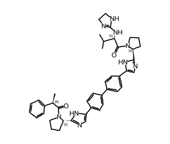 CC(C)[C@H](NC1=NCCN1)C(=O)N1CCC[C@H]1c1ncc(-c2ccc(-c3ccc(-c4cnc([C@@H]5CCCN5C(=O)[C@H](C)c5ccccc5)[nH]4)cc3)cc2)[nH]1